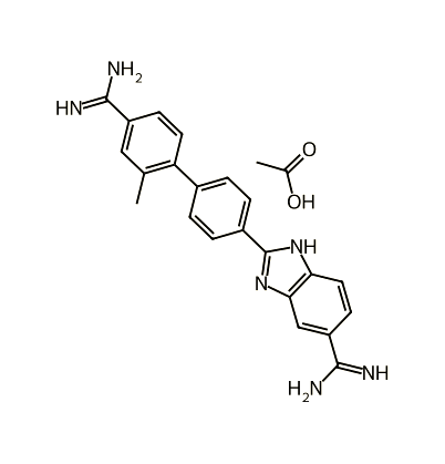 CC(=O)O.Cc1cc(C(=N)N)ccc1-c1ccc(-c2nc3cc(C(=N)N)ccc3[nH]2)cc1